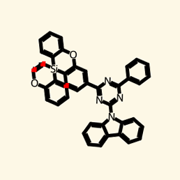 c1ccc(-c2nc(-c3ccc4c(c3)Oc3ccccc3[Si]43c4ccccc4Oc4ccccc43)nc(-n3c4ccccc4c4ccccc43)n2)cc1